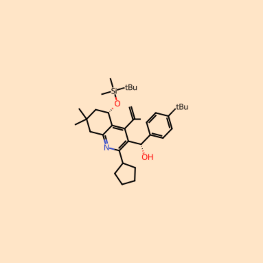 C=C(C)c1c([C@@H](O)c2ccc(C(C)(C)C)cc2)c(C2CCCC2)nc2c1[C@@H](O[Si](C)(C)C(C)(C)C)CC(C)(C)C2